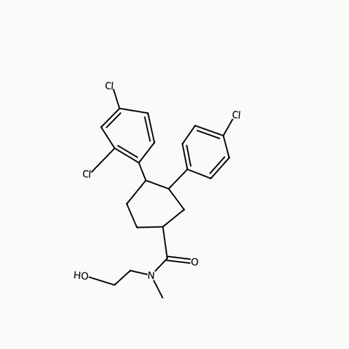 CN(CCO)C(=O)C1CCC(c2ccc(Cl)cc2Cl)C(c2ccc(Cl)cc2)C1